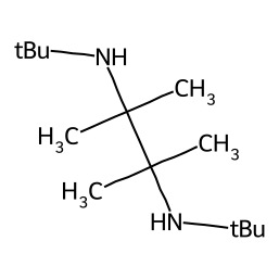 CC(C)(C)NC(C)(C)C(C)(C)NC(C)(C)C